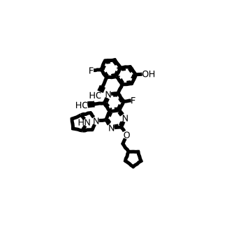 C#Cc1c(F)ccc2cc(O)cc(-c3nc(C#C)c4c(N5CC6CCC(C5)N6)nc(OCC5CCCC5)nc4c3F)c12